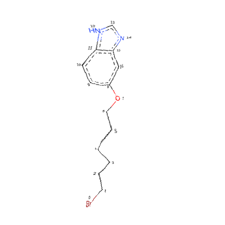 BrCCCCCCOc1ccc2[nH]cnc2c1